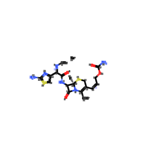 CO/N=C(\C(=O)NC1C(=O)N2C(C(=O)[O-])=C(/C=C\COC(N)=O)CS[C@H]12)c1csc(N)n1.[Na+]